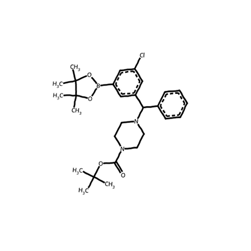 CC(C)(C)OC(=O)N1CCN(C(c2ccccc2)c2cc(Cl)cc(B3OC(C)(C)C(C)(C)O3)c2)CC1